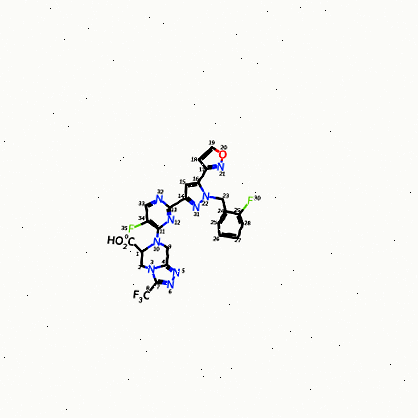 O=C(O)C1Cn2c(nnc2C(F)(F)F)CN1c1nc(-c2cc(-c3ccon3)n(Cc3ccccc3F)n2)ncc1F